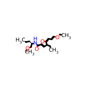 CCC[C@H](COC)NC(=O)C1=CC(CC)/C(=C\C=C\OCC)O1